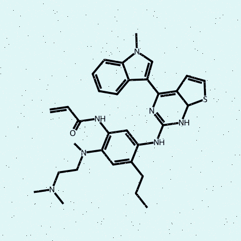 C=CC(=O)Nc1cc(NC2=NC(c3cn(C)c4ccccc34)=C3C=CSC3N2)c(CCC)cc1N(C)CCN(C)C